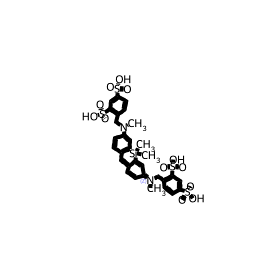 CN(Cc1ccc(S(=O)(=O)O)cc1S(=O)(=O)O)c1ccc2c(c1)[Si](C)(C)C1=C/C(=[N+](/C)Cc3ccc(S(=O)(=O)O)cc3S(=O)(=O)O)C=CC1=C2